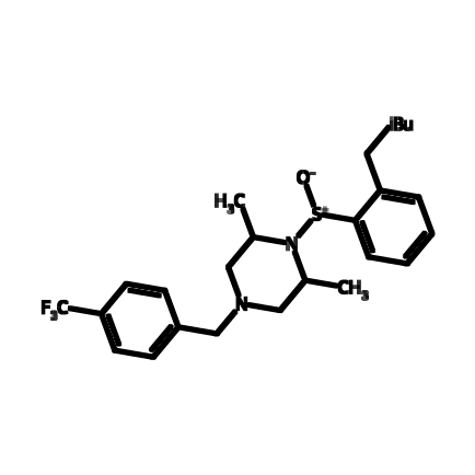 CCC(C)Cc1ccccc1[S+]([O-])N1C(C)CN(Cc2ccc(C(F)(F)F)cc2)CC1C